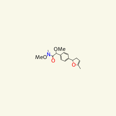 COC(C(=O)N(C)OC)c1ccc(C2CC=C(C)O2)cc1